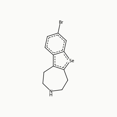 Brc1ccc2c3c([se]c2c1)CCNCC3